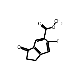 COC(=O)c1cc2c(cc1F)CCC2=O